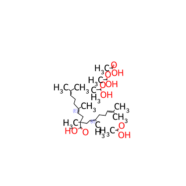 CC(=O)O.CC(=O)O.CC(=O)O.CC(=O)O.CC(C)=CCC/C(C)=C/CC(C)(C/C=C(\C)CCC=C(C)C)C(=O)O